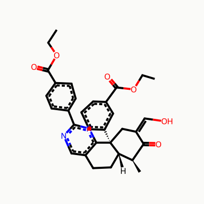 CCOC(=O)c1ccc(-c2ncc3c(n2)[C@@]2(c4cccc(C(=O)OCC)c4)C/C(=C/O)C(=O)[C@@H](C)[C@@H]2CC3)cc1